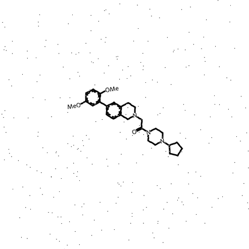 COc1ccc(OC)c(-c2ccc3c(c2)CCN(CC(=O)N2CCN(C4CCCC4)CC2)C3)c1